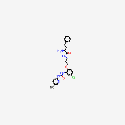 N#Cc1ccc(NC(=O)Nc2cc(Cl)ccc2OCCCNC(=O)C(N)CCc2ccccc2)nc1